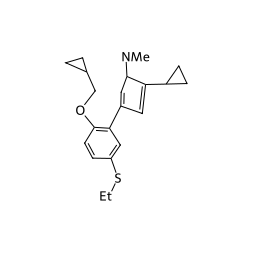 CCSc1ccc(OCC2CC2)c(C2=CC(NC)C(C3CC3)=C2)c1